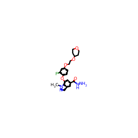 Cn1ncc2cc(C(=O)NN)cc(Oc3ccc(OCCOC4CCOCC4)cc3F)c21